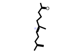 C=C(C)CC/C=C(\C)CCCC(C)=O